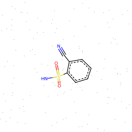 N#Cc1ccccc1S([NH])(=O)=O